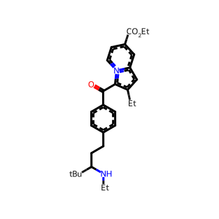 CCNC(CCc1ccc(C(=O)c2c(CC)cc3cc(C(=O)OCC)ccn23)cc1)C(C)(C)C